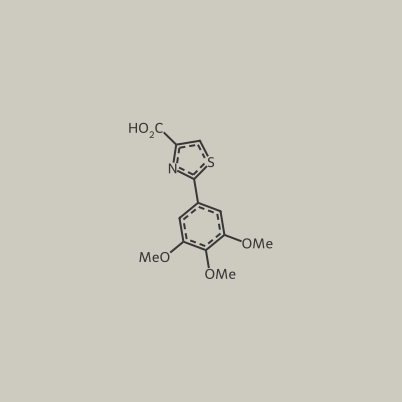 COc1cc(-c2nc(C(=O)O)cs2)cc(OC)c1OC